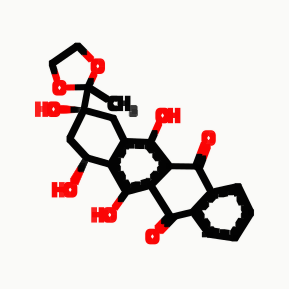 CC1([C@]2(O)Cc3c(O)c4c(c(O)c3[C@@H](O)C2)C(=O)c2[c]cccc2C4=O)OCCO1